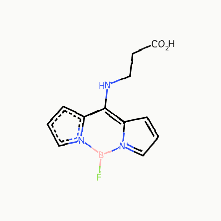 O=C(O)CCNC1=C2C=CC=[N+]2B(F)n2cccc21